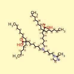 CCCCCCCCC(CCCCCC)(CCCCCCN(CCCCCCC(CCCCCC)(CCCCCCCC)C(=O)O)CCCCN1CCN=C1C)C(=O)O